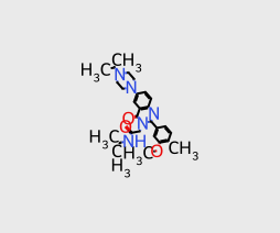 COc1cc(-c2nc3ccc(N4CCN(C(C)C)CC4)cc3c(=O)n2CC(=O)NC(C)C)ccc1C